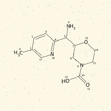 Cc1ccc(C(N)C2CN(C(=O)O)CCO2)nc1